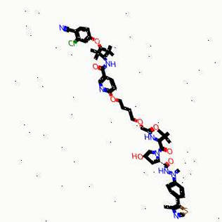 Cc1ncsc1-c1ccc(N(C)NC(=O)[C@@H]2C[C@@H](O)CN2C(=O)C(NC(=O)COCCCCOc2ccc(C(=O)NC3C(C)(C)C(Oc4ccc(C#N)c(Cl)c4)C3(C)C)cn2)C(C)(C)C)cc1